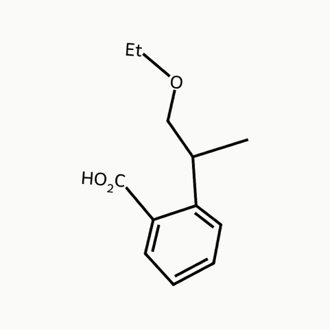 CCOCC(C)c1ccccc1C(=O)O